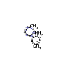 CC1=C/C=C(C(N)C2CCCCCC(C)CCCC2)\C=C/C=C\C=C/C=C\1